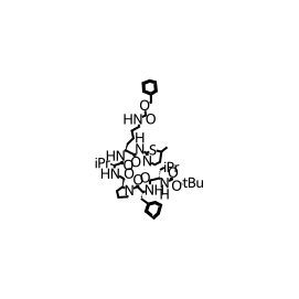 CC(C)C[C@H](NC(=O)OC(C)(C)C)C(=O)N[C@H](Cc1ccccc1)C(=O)N1CCC[C@H]1C(=O)N[C@H](C(=O)N[C@@H](CCCCNC(=O)OCc1ccccc1)C(=O)NC1=NCCC(C)S1)C(C)C